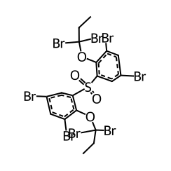 CCC(Br)(Br)Oc1c(Br)cc(Br)cc1S(=O)(=O)c1cc(Br)cc(Br)c1OC(Br)(Br)CC